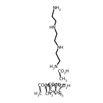 CC(=O)O.CC(=O)O.CC(=O)O.CC(=O)O.CC(=O)O.CC(=O)O.NCCNCCNCCN